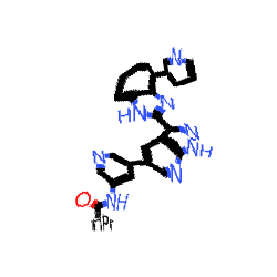 CCCC(=O)Nc1cncc(-c2cnc3[nH]nc(-c4nc5c(-c6cccnc6)cccc5[nH]4)c3c2)c1